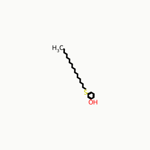 CCCCCCCCCCCCCCCCCCSc1cccc(O)c1